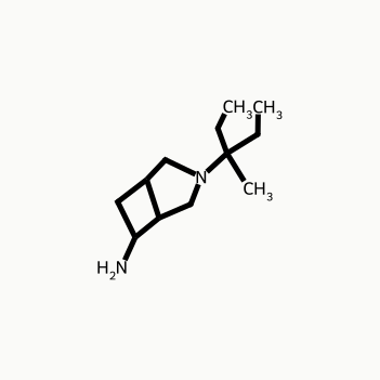 CCC(C)(CC)N1CC2CC(N)C2C1